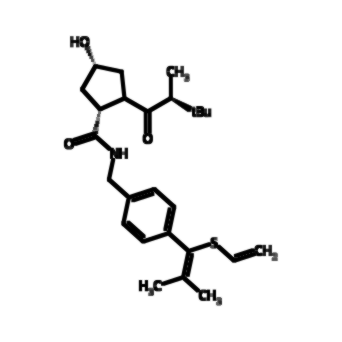 C=CSC(=C(C)C)c1ccc(CNC(=O)[C@@H]2C[C@H](O)CC2C(=O)[C@@H](C)C(C)(C)C)cc1